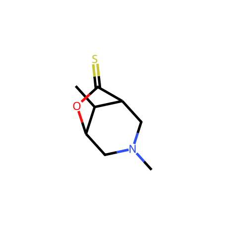 CC1C2CN(C)CC1C(=S)O2